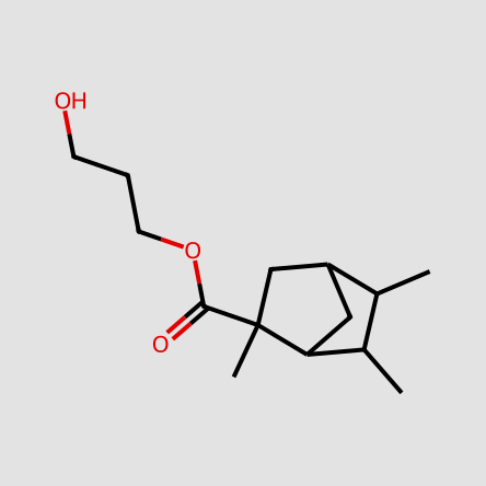 CC1C2CC(C1C)C(C)(C(=O)OCCCO)C2